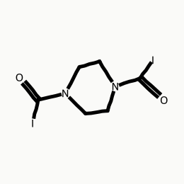 O=C(I)N1CCN(C(=O)I)CC1